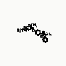 CN(c1ccccc1)S(=O)(=O)c1ccc(OCC2(C)Cn3cc([N+](=O)[O-])nc3O2)cc1